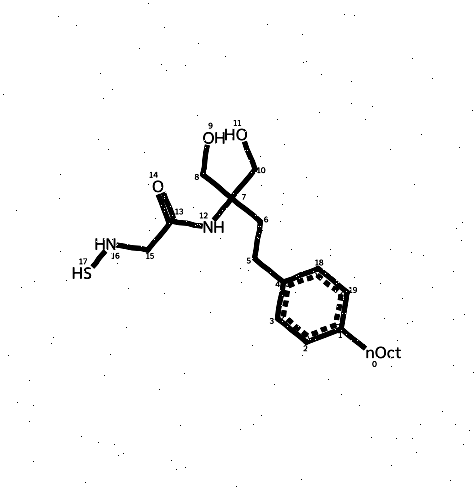 CCCCCCCCc1ccc(CCC(CO)(CO)NC(=O)CNS)cc1